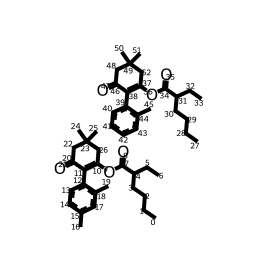 CCCCC(CC)C(=O)OC1=C(c2ccc(C)cc2C)C(=O)CC(C)(C)C1.CCCCC(CC)C(=O)OC1=C(c2ccccc2C)C(=O)CC(C)(C)C1